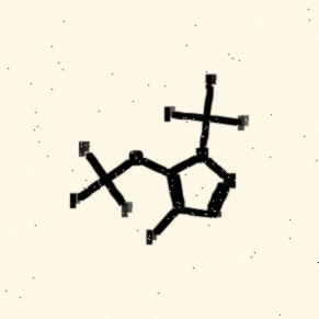 Fc1[c]nn(C(F)(F)F)c1OC(F)(F)F